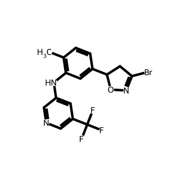 Cc1ccc(C2CC(Br)=NO2)cc1Nc1cncc(C(F)(F)F)c1